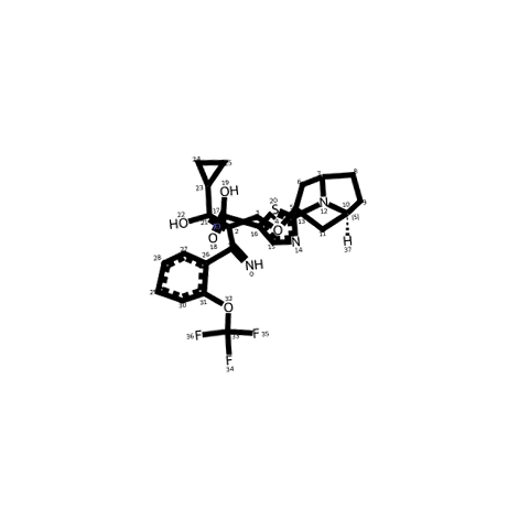 N=C(/C(COC1CC2CC[C@@H](C1)N2c1ncc(C(=O)O)s1)=C(\O)C1CC1)c1ccccc1OC(F)(F)F